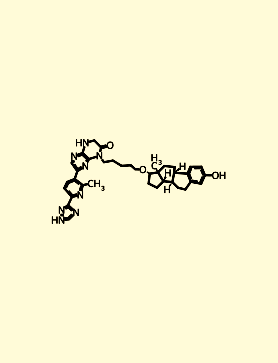 Cc1nc(-c2nc[nH]n2)ccc1-c1cnc2c(n1)N(CCCCCO[C@H]1CC[C@H]3[C@@H]4CCc5cc(O)ccc5[C@H]4CC[C@]13C)C(=O)CN2